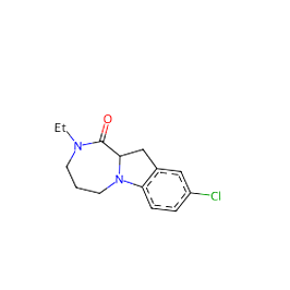 CCN1CCCN2c3ccc(Cl)cc3CC2C1=O